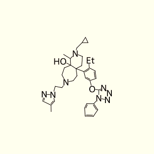 CCc1ccc(Oc2nnnn2-c2ccccc2)cc1C12CCN(CCn3cc(C)cn3)CCC1(O)C(C)N(CC1CC1)CC2